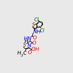 CC1=C(C(=O)O)N2C(=O)C(NC(=O)CNc3csc4c(Cl)ccc(Cl)c34)[C@@H]2SC1